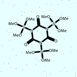 CO[Si](OC)(OC)n1c(=O)n([Si](OC)(OC)OC)c(=O)n([Si](OC)(OC)OC)c1=O